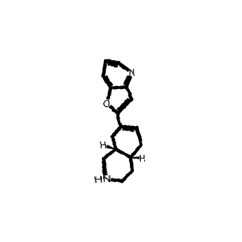 C1=C(c2cc3ncccc3o2)C[C@H]2CNCC[C@H]2C1